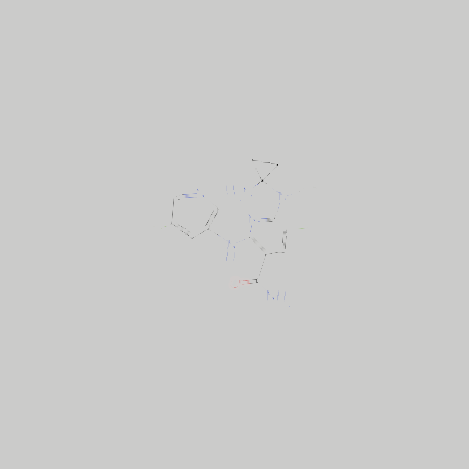 CCCN(c1nc(Nc2cncc(F)c2)c(C(N)=O)cc1F)C1(N)CC1